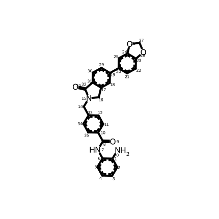 Nc1ccccc1NC(=O)c1ccc(CN2Cc3cc(-c4ccc5c(c4)OCO5)ccc3C2=O)cc1